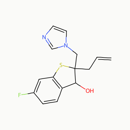 C=CCC1(Cn2ccnc2)Sc2cc(F)ccc2C1O